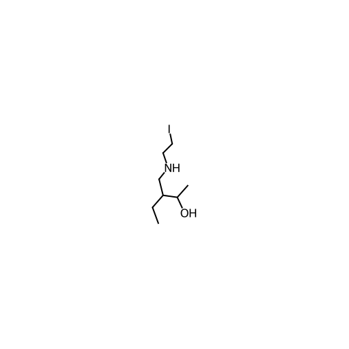 CCC(CNCCI)C(C)O